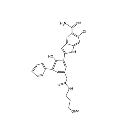 COCCCNC(=O)Cc1cc(-c2ccccc2)c(O)c(-c2cc3cc(C(=N)N)c(Cl)cc3[nH]2)c1